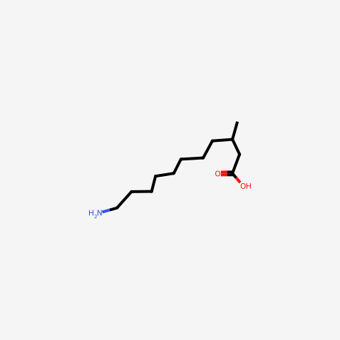 CC(CCCCCCCCN)CC(=O)O